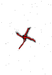 CCCCCCCCCCCCCCC(=S)OCC(C)(C)C(OC(=S)CCCCCCCCCCCC)(OC(=S)CCCCCCCCCCCC)OC(=S)CCCCCCCCCCCCCC